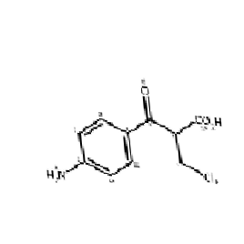 Nc1ccc(C(=O)C(CCl)C(=O)O)cc1